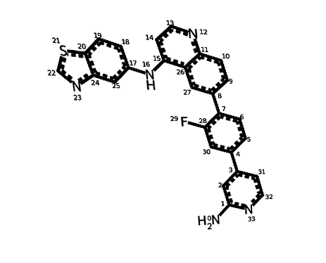 Nc1cc(-c2ccc(-c3ccc4nccc(Nc5ccc6scnc6c5)c4c3)c(F)c2)ccn1